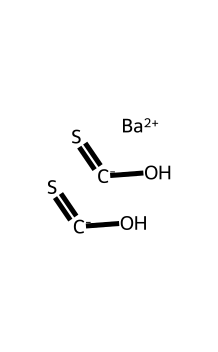 O[C-]=S.O[C-]=S.[Ba+2]